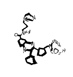 CC(C)(C)N(Cc1cccc(-c2nc3cc(C(=O)NCCCn4ccnc4)ccc3nc2-c2ccccc2)c1)C(=O)O